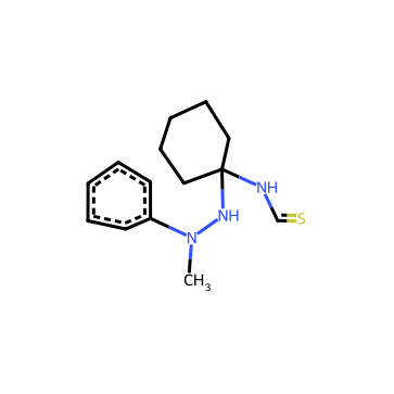 CN(NC1(NC=S)CCCCC1)c1ccccc1